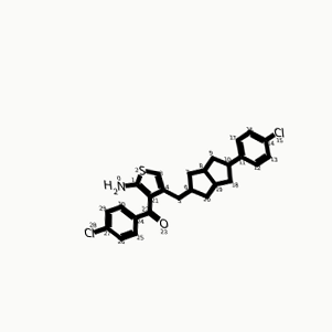 Nc1scc(CC2CC3CC(c4ccc(Cl)cc4)CC3C2)c1C(=O)c1ccc(Cl)cc1